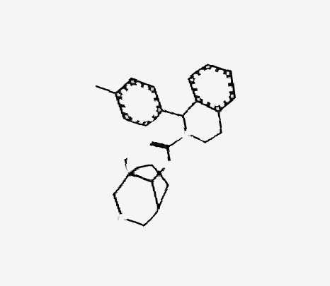 O=C(OC1C2CC[C@H]1CNC2)N1CCc2ccccc2C1c1ccc(F)cc1